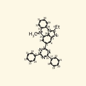 CCc1nc2cc(-c3nc(-c4ccccc4)nc(-c4ccccc4)n3)cc3c2n1-c1ccccc1N3C